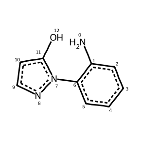 Nc1ccccc1-n1nccc1O